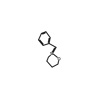 C(c1ccccc1)=[Si]1CCCCO1